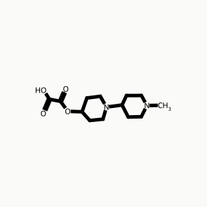 CN1CCC(N2CCC(OC(=O)C(=O)O)CC2)CC1